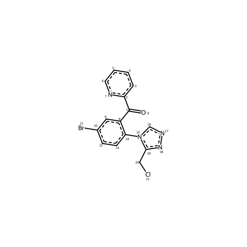 O=C(c1ccccn1)c1cc(Br)ccc1-n1cnnc1CCl